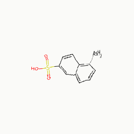 O=S(=O)(O)c1ccc2c([AsH2])cccc2c1